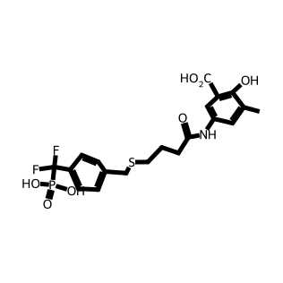 Cc1cc(NC(=O)CCCSCc2ccc(C(F)(F)P(=O)(O)O)cc2)cc(C(=O)O)c1O